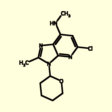 CNc1cc(Cl)nc2c1nc(C)n2C1CCCCO1